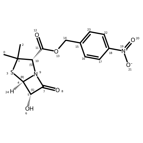 CC1(C)S[C@@H]2[C@@H](O)C(=O)N2[C@H]1C(=O)OCc1ccc([N+](=O)[O-])cc1